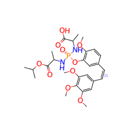 COc1ccc(/C=C\c2cc(OC)c(OC)c(OC)c2)cc1OP(=O)(NC(C)C(=O)O)NC(C)C(=O)OC(C)C